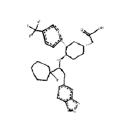 O=C(O)C[C@@H]1CC[C@@H](NC(Cc2ccc3nonc3c2)C2(F)CCCCC2)[C@H](c2ccc(C(F)(F)F)cc2)C1